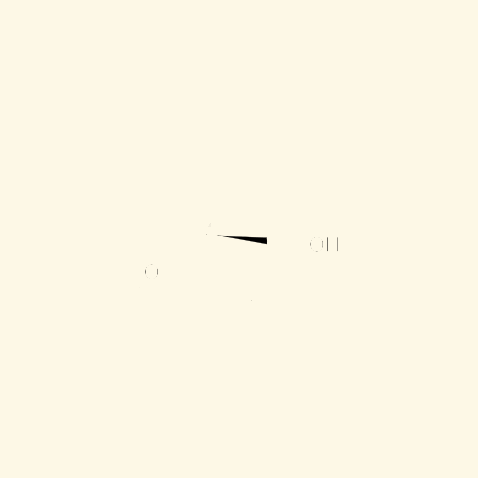 CC(C)(O)[C@@H]1CO1